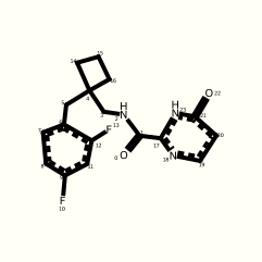 O=C(NCC1(Cc2ccc(F)cc2F)CCC1)c1nccc(=O)[nH]1